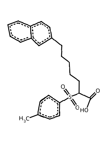 Cc1ccc(S(=O)(=O)C(CCCCCc2ccc3ccccc3c2)C(=O)O)cc1